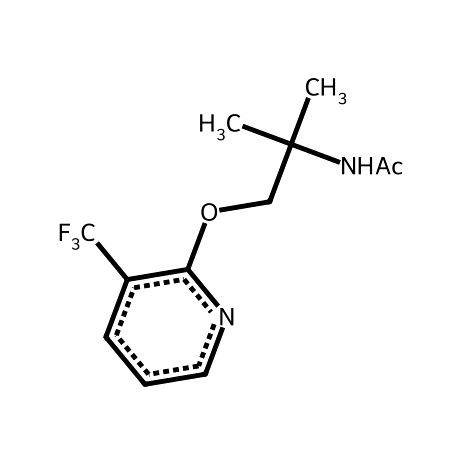 CC(=O)NC(C)(C)COc1ncccc1C(F)(F)F